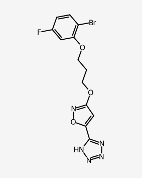 Fc1ccc(Br)c(OCCCOc2cc(-c3nnn[nH]3)on2)c1